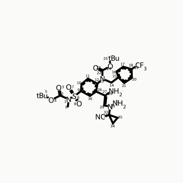 CN(C(=O)OC(C)(C)C)S(=O)(=O)c1ccc(N(Cc2ccc(C(F)(F)F)cc2)C(=O)OC(C)(C)C)c(/C(N)=C/N(N)C2(C#N)CC2)c1